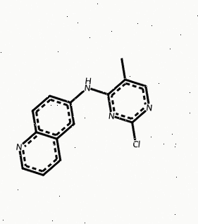 Cc1cnc(Cl)nc1Nc1ccc2ncccc2c1